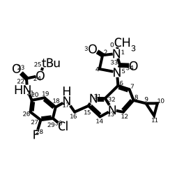 CN1C(=O)CN(c2cc(C3CC3)cn3cc(CNc4cc(NC(=O)OC(C)(C)C)cc(F)c4Cl)nc23)C1=O